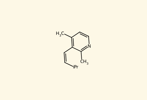 Cc1ccnc(C)c1/C=C\C(C)C